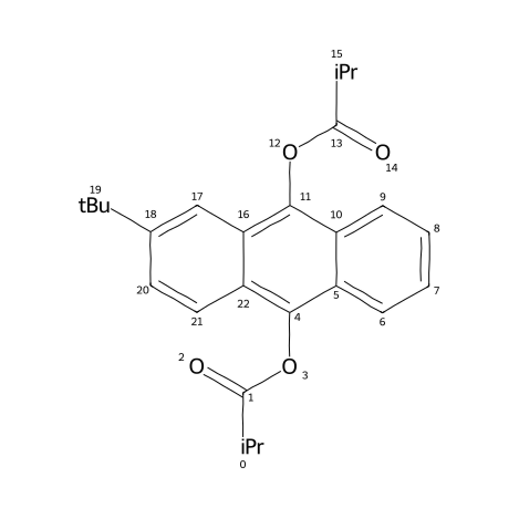 CC(C)C(=O)Oc1c2ccccc2c(OC(=O)C(C)C)c2cc(C(C)(C)C)ccc12